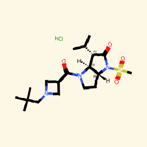 CC(C)[C@@H]1C(=O)N(S(C)(=O)=O)[C@@H]2CCN(C(=O)C3CN(CC(C)(C)C)C3)[C@H]21.Cl